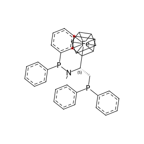 CN([C@@H](CP(c1ccccc1)c1ccccc1)[C]12[CH]3[CH]4[CH]5[CH]1[Fe]45321678[CH]2[CH]1[CH]6[CH]7[CH]28)P(c1ccccc1)c1ccccc1